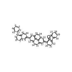 c1ccc(-c2cccc3cc(-c4cc5ccc6cc(-c7cccc8c7oc7ccccc78)cc7ccc(c4)c5c67)ccc23)cc1